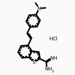 CN(C)c1ccc(C=Cc2cccc3sc(C(=N)N)cc23)cc1.Cl